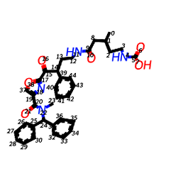 CC(CCNC(=O)O)CC(=O)NCCC(C(=O)c1nc(C(=O)N(C)C(c2ccccc2)c2ccccc2)co1)c1ccccc1